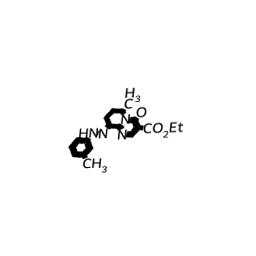 CCOC(=O)c1cnc2n(c1=O)C(C)CCC2=NNc1cccc(C)c1